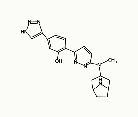 CN(c1ccc(-c2ccc(-c3c[nH]nn3)cc2O)nn1)C1CC2CCC(C1)N2